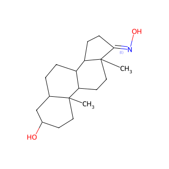 CC12CCC3C(CCC4CC(O)CCC43C)C1CC/C2=N\O